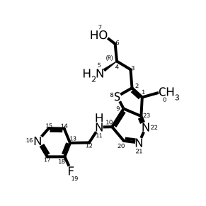 Cc1c(C[C@@H](N)CO)sc2c(NCc3ccncc3F)cnnc12